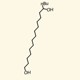 CCCCC(O)CCCCCCCCCCCCCO